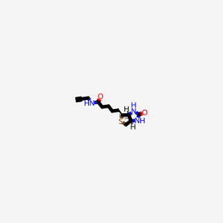 C#CCNC(=O)CCCC[C@@H]1SC[C@@H]2NC(=O)N[C@@H]21